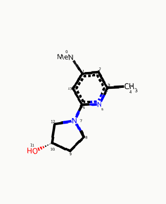 CNc1cc(C)nc(N2CC[C@H](O)C2)c1